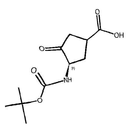 CC(C)(C)OC(=O)N[C@@H]1CC(C(=O)O)CC1=O